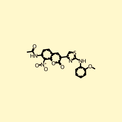 COc1ccccc1Nc1nc(-c2cc3ccc(NC(C)=O)c([N+](=O)[O-])c3oc2=O)cs1